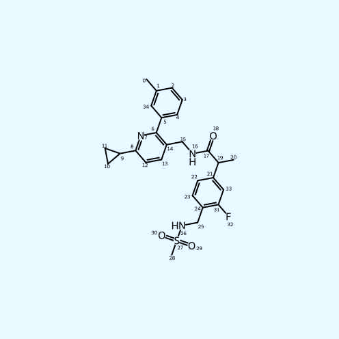 Cc1cccc(-c2nc(C3CC3)ccc2CNC(=O)C(C)c2ccc(CNS(C)(=O)=O)c(F)c2)c1